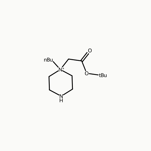 CCCC[N+]1(CC(=O)OC(C)(C)C)CCNCC1